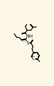 C=C(C)CC(CC)C(=C)N/C(=C\CCC)SC(=C)CCc1ccc(C)cc1